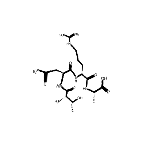 C[C@H](NC(=O)[C@H](CCCNC(=N)N)NC(=O)[C@H](CC(N)=O)NC(=O)[C@@H](N)[C@@H](C)O)C(=O)O